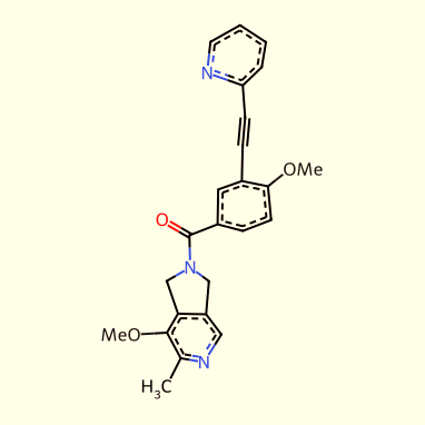 COc1ccc(C(=O)N2Cc3cnc(C)c(OC)c3C2)cc1C#Cc1ccccn1